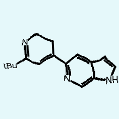 CC(C)(C)C1=NCCC(c2cc3cc[nH]c3cn2)=C1